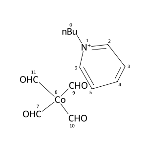 CCCC[n+]1ccccc1.O=[CH][Co]([CH]=O)([CH]=O)[CH]=O